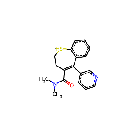 CN(C)C(=O)C1=C(c2cccnc2)c2ccccc2[SH]CC1